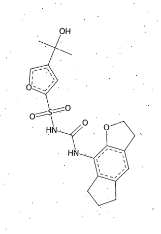 CC(C)(O)c1coc(S(=O)(=O)NC(=O)Nc2c3c(cc4c2OCC4)CCC3)c1